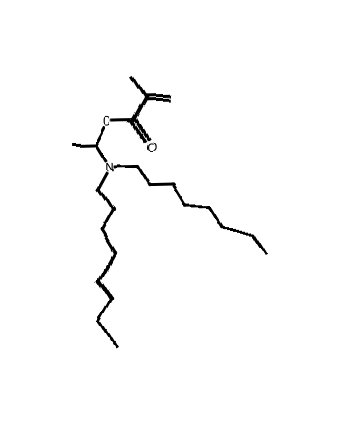 C=C(C)C(=O)OC(C)N(CCCCCCCC)CCCCCCCC